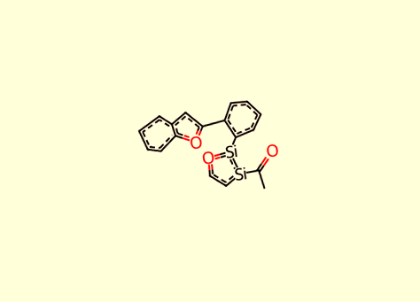 CC(=O)[si]1cco[si]1-c1ccccc1-c1cc2ccccc2o1